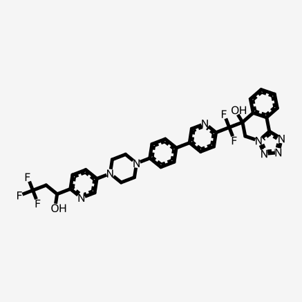 OC(CC(F)(F)F)c1ccc(N2CCN(c3ccc(-c4ccc(C(F)(F)C5(O)Cn6nnnc6-c6ccccc65)nc4)cc3)CC2)cn1